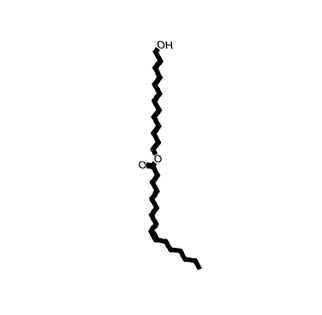 CCCCCC/C=C\CCCCCCCC(=O)OCCCCCCCCCCCCCO